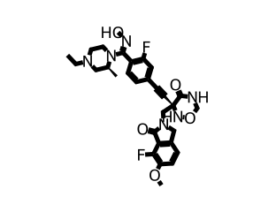 CCN1CCN(/C(=N\O)c2ccc(C#C[C@]3(CN4Cc5ccc(OC)c(F)c5C4=O)NOCNC3=O)cc2F)[C@@H](C)C1